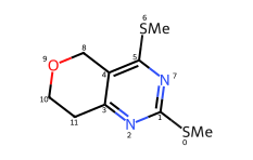 CSc1nc2c(c(SC)n1)COCC2